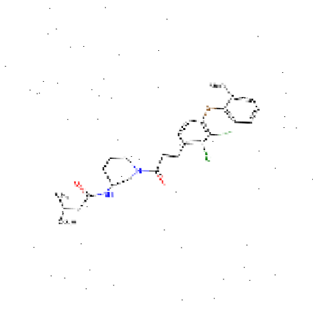 COc1ccccc1Sc1ccc(/C=C/C(=O)N2CCCC(NC(=O)CC(C)C(=O)O)C2)c(Cl)c1Cl